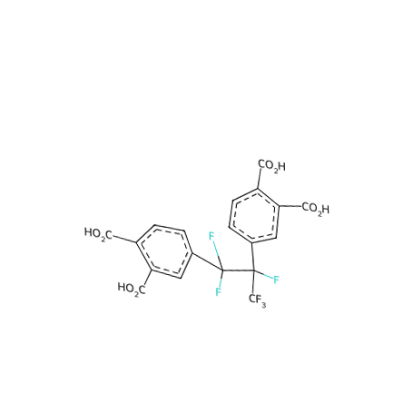 O=C(O)c1ccc(C(F)(F)C(F)(c2ccc(C(=O)O)c(C(=O)O)c2)C(F)(F)F)cc1C(=O)O